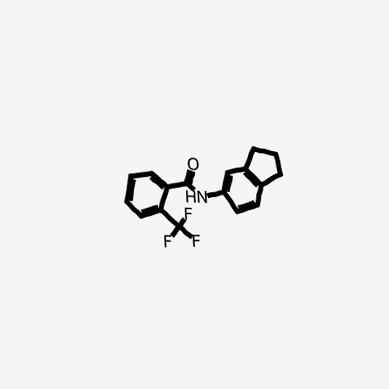 O=C(Nc1ccc2c(c1)CCC2)c1ccccc1C(F)(F)F